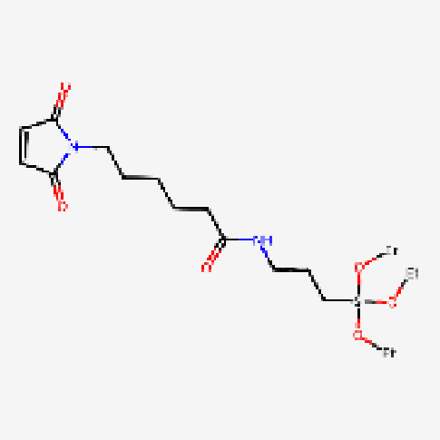 CCO[Si](CCCNC(=O)CCCCCN1C(=O)C=CC1=O)(OCC)OCC